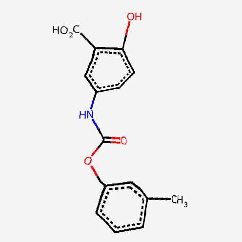 Cc1cccc(OC(=O)Nc2ccc(O)c(C(=O)O)c2)c1